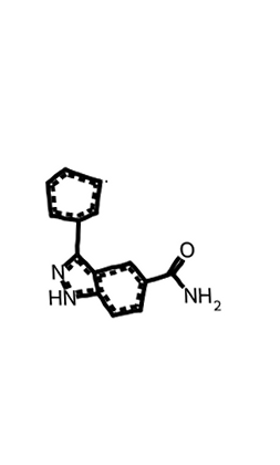 NC(=O)c1ccc2[nH]nc(-c3c[c]ccc3)c2c1